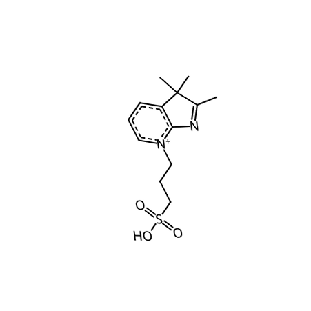 CC1=Nc2c(ccc[n+]2CCCS(=O)(=O)O)C1(C)C